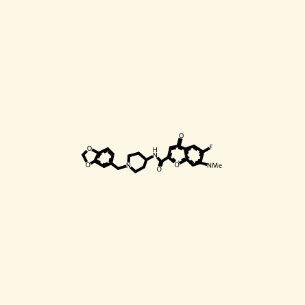 CNc1cc2oc(C(=O)NC3CCN(Cc4ccc5c(c4)OCO5)CC3)cc(=O)c2cc1F